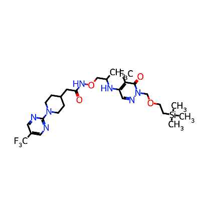 CC(CONC(=O)CC1CCN(c2ncc(C(F)(F)F)cn2)CC1)Nc1cnn(COCC[Si](C)(C)C)c(=O)c1C(F)(F)F